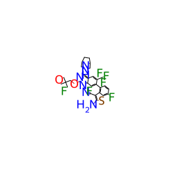 N#Cc1c(N)sc2c(F)ccc(-c3c(C(F)(F)F)cc4c(N5CC6CCC(C5)N6)nc(OCC5(CF)COC5)nc4c3F)c12